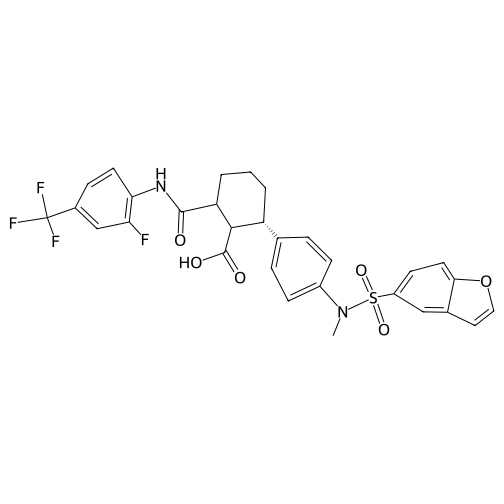 CN(c1ccc([C@H]2CCCC(C(=O)Nc3ccc(C(F)(F)F)cc3F)C2C(=O)O)cc1)S(=O)(=O)c1ccc2occc2c1